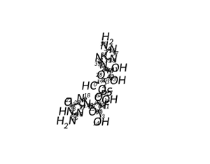 C#C[C@]1(COP(O)(=S)O[C@@H]2[C@@H](F)[C@@H](CO)O[C@H]2n2cnc3c(=O)[nH]c(N)nc32)O[C@@H](n2cnc3c(N)ncnc32)[C@H](O)[C@@H]1O